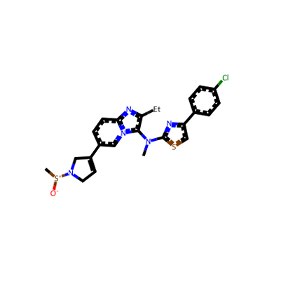 CCc1nc2ccc(C3=CCN([S+](C)[O-])C3)cn2c1N(C)c1nc(-c2ccc(Cl)cc2)cs1